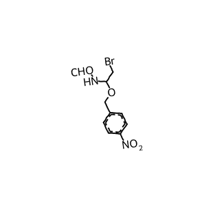 O=CNC(CBr)OCc1ccc([N+](=O)[O-])cc1